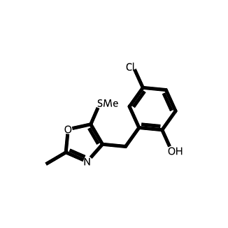 CSc1oc(C)nc1Cc1cc(Cl)ccc1O